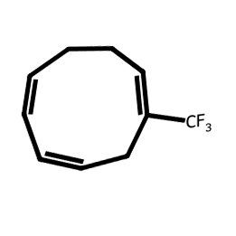 FC(F)(F)/C1=C/CC/C=C\C=CC1